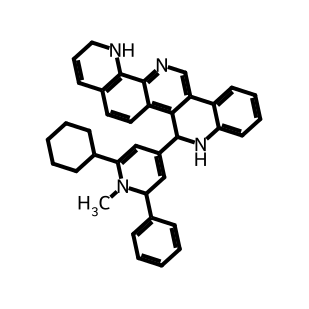 CN1C(C2CCCCC2)=CC(C2Nc3ccccc3-c3cnc4c5c(ccc4c32)C=CCN5)=CC1c1ccccc1